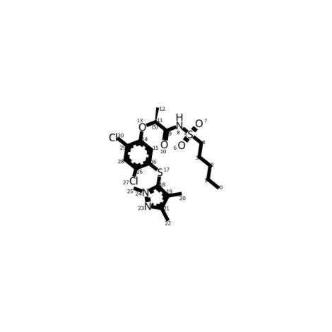 CCCCCS(=O)(=O)NC(=O)[C@H](C)Oc1cc(Sc2c(C)c(C)nn2C)c(Cl)cc1Cl